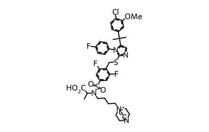 COc1cc(C(C)(C)c2cnc(SCc3c(F)cc(S(=O)(=O)N(CCCC[N+]45CCN(CC4)CC5)C(C)C(=O)O)cc3F)n2-c2ccc(F)cc2)ccc1Cl